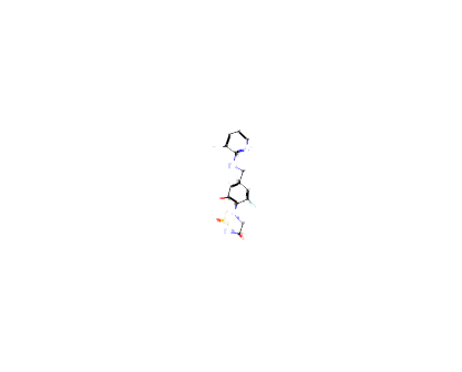 Cc1cccnc1NCc1cc(O)c(N2CC(=O)NS2(=O)=O)c(F)c1